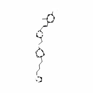 O=C(O)c1ccc(/C=C/c2nc(COc3ccc(CCCCn4ccnn4)cc3)co2)c(F)c1